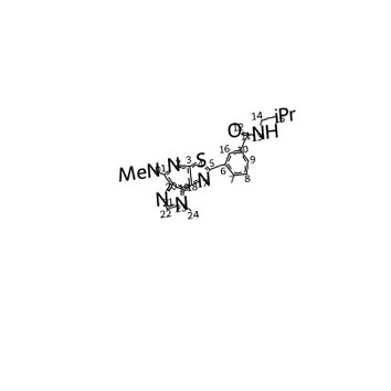 CNc1nc2sc(-c3cccc(C(=O)NCC(C)C)c3)nc2c2c1ncn2C